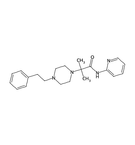 CC(C)(C(=O)Nc1ccccn1)N1CCN(CCc2ccccc2)CC1